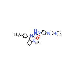 CCCN1C(=O)[C@H](NC(=O)Nc2ccc(N3CCC(N4CCCCC4)CC3)cc2)N=C(c2ccc(C)cc2)c2ccccc21